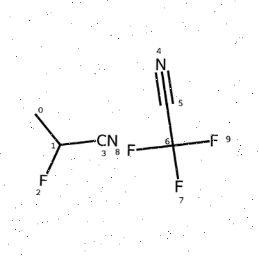 CC(F)C#N.N#CC(F)(F)F